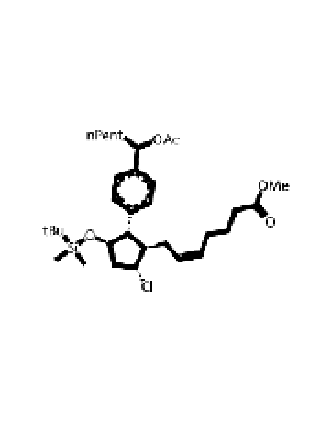 CCCCCC(OC(C)=O)c1ccc([C@@H]2[C@@H](C/C=C\CCCC(=O)OC)[C@H](Cl)C[C@H]2O[Si](C)(C)C(C)(C)C)cc1